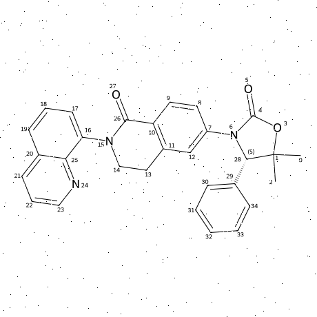 CC1(C)OC(=O)N(c2ccc3c(c2)CCN(c2cccc4cccnc24)C3=O)[C@H]1c1ccccc1